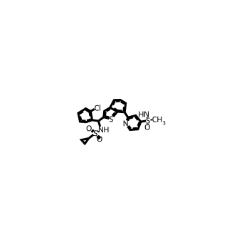 C[S@@](=N)(=O)c1ccnc(-c2cccc3cc(C(NS(=O)(=O)C4CC4)c4ccccc4Cl)sc23)c1